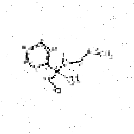 C=CCOC(OCl)(c1ccccc1)C(Cl)(Cl)Cl